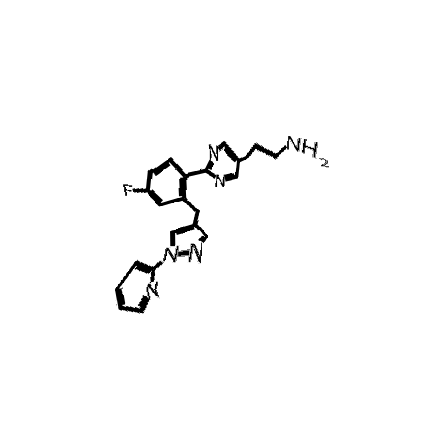 NCCc1cnc(-c2ccc(F)cc2Cc2cnn(-c3ccccn3)c2)nc1